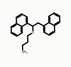 [SiH3]CCCOC(Cc1cccc2ccccc12)c1cccc2ccccc12